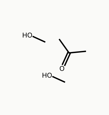 CC(C)=O.CO.CO